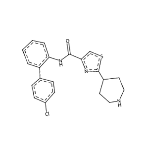 O=C(Nc1ccccc1-c1ccc(Cl)cc1)c1csc(C2CCNCC2)n1